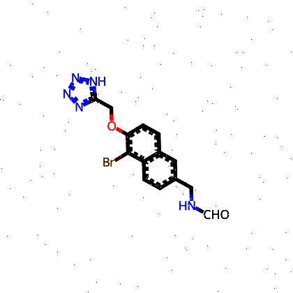 O=CNCc1ccc2c(Br)c(OCc3nnn[nH]3)ccc2c1